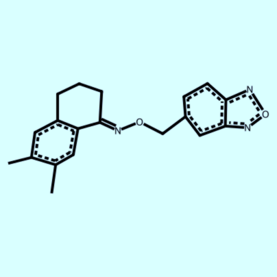 Cc1cc2c(cc1C)/C(=N/OCc1ccc3nonc3c1)CCC2